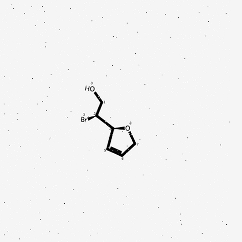 OC[C@H](Br)[C@@H]1C=CCO1